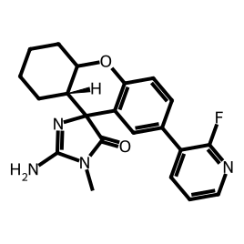 CN1C(=O)C2(N=C1N)c1cc(-c3cccnc3F)ccc1OC1CCCC[C@H]12